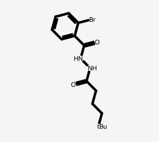 CC(C)(C)CCCC(=O)NNC(=O)c1ccccc1Br